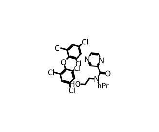 CCCN(CCO)C(=O)c1cnccn1.Clc1cc(Cl)c(Oc2c(Cl)cc(Cl)cc2Cl)c(Cl)c1